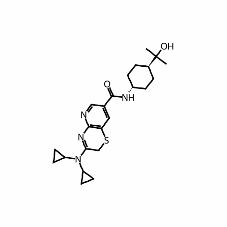 CC(C)(O)[C@H]1CC[C@H](NC(=O)c2cnc3c(c2)SCC(N(C2CC2)C2CC2)=N3)CC1